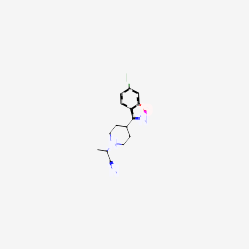 CC(C#N)N1CCC(c2noc3cc(F)ccc23)CC1